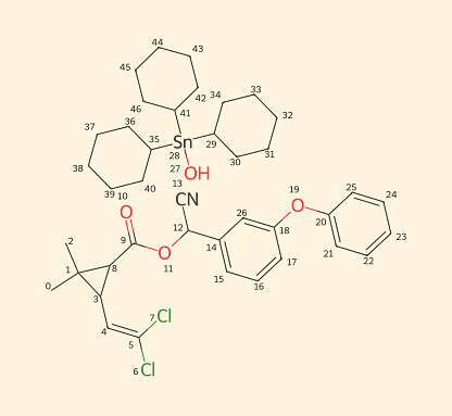 CC1(C)C(C=C(Cl)Cl)C1C(=O)OC(C#N)c1cccc(Oc2ccccc2)c1.[OH][Sn]([CH]1CCCCC1)([CH]1CCCCC1)[CH]1CCCCC1